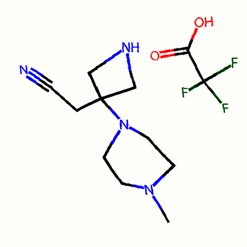 CN1CCN(C2(CC#N)CNC2)CC1.O=C(O)C(F)(F)F